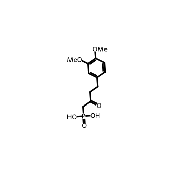 COc1ccc(CCC(=O)CP(=O)(O)O)cc1OC